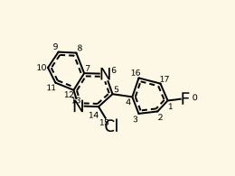 Fc1ccc(-c2nc3ccccc3nc2Cl)cc1